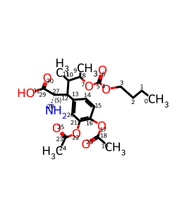 CCCCOC(=O)OC(C)C(C)C(c1ccc(OC(C)=O)c(OC(C)=O)c1)[C@H](N)C(=O)O